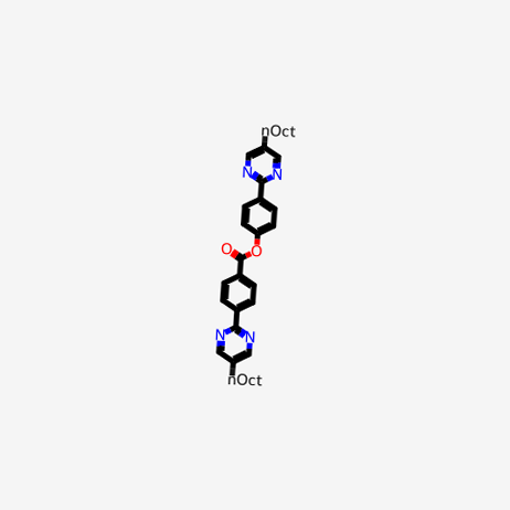 CCCCCCCCc1cnc(-c2ccc(OC(=O)c3ccc(-c4ncc(CCCCCCCC)cn4)cc3)cc2)nc1